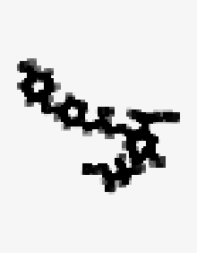 CNC(=O)c1cc(Cl)c(OC(C)(C)C(=O)NC)cc1OC[C@H](O)CN1C[C@@H](Oc2ccc(Cl)cc2)CO1